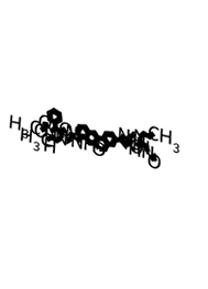 CCCN(Cc1nc(-c2ccc3c(c2)COc2cc4c(ccc5nc(CN(CCC)C(=O)C(NC(=O)OC)c6ccccc6)[nH]c54)cc2-3)c[nH]1)C(=O)CNC=O